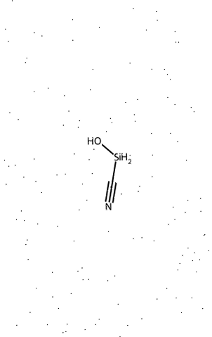 N#C[SiH2]O